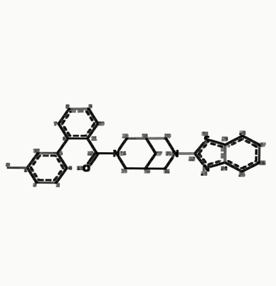 Cc1cccc(-c2ccccc2C(=O)N2CC3CC(C2)CN(c2nc4ccccc4s2)C3)c1